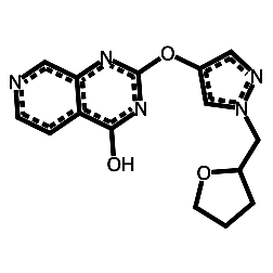 Oc1nc(Oc2cnn(CC3CCCO3)c2)nc2cnccc12